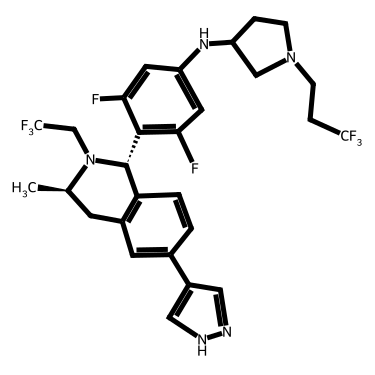 C[C@@H]1Cc2cc(-c3cn[nH]c3)ccc2[C@@H](c2c(F)cc(NC3CCN(CCC(F)(F)F)C3)cc2F)N1CC(F)(F)F